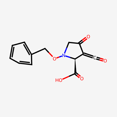 O=C=C1C(=O)CN(OCc2ccccc2)[C@@H]1C(=O)O